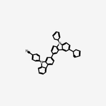 N#Cc1ccc(-n2c3ccccc3c3ccc(-c4ccc5c(c4)c4cc(C6C#CC=CC6)ccc4n5C4C=CC=CC4)cc32)cc1